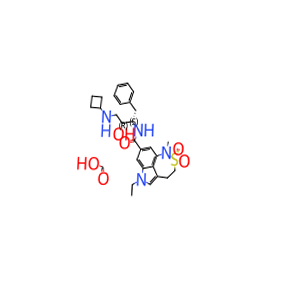 CCn1cc2c3c(cc(C(=O)N[C@@H](Cc4ccccc4)[C@H](O)CNC4CCC4)cc31)N(C)S(=O)(=O)CC2.O=CO